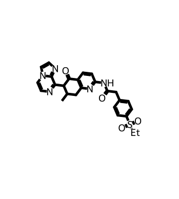 CCS(=O)(=O)c1ccc(CC(=O)Nc2ccc3c(n2)CC(C)C(c2nccn4ccnc24)C3=O)cc1